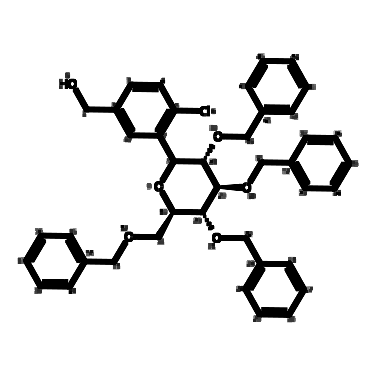 OCc1ccc(Cl)c(C2O[C@H](COCc3ccccc3)[C@@H](OCc3ccccc3)[C@H](OCc3ccccc3)[C@H]2OCc2ccccc2)c1